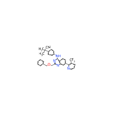 CC(C)(C#N)c1ccc(Nc2nc(COCc3ccccc3)nc3cc(-c4ncccc4C(F)(F)F)ccc23)cc1